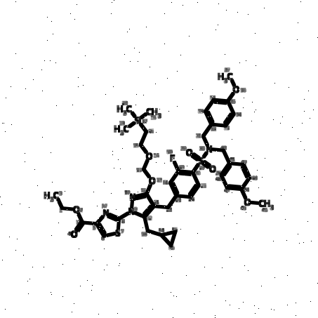 CCOC(=O)c1csc(-n2nc(OCOCC[Si](C)(C)C)c(Cc3ccc(S(=O)(=O)N(Cc4ccc(OC)cc4)Cc4ccc(OC)cc4)c(F)c3)c2CC2CC2)n1